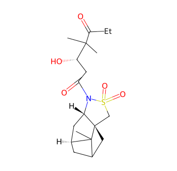 CCC(=O)C(C)(C)[C@@H](O)CC(=O)N1[C@H]2C[C@@H]3CC4C[C@@]2(CS1(=O)=O)C43C